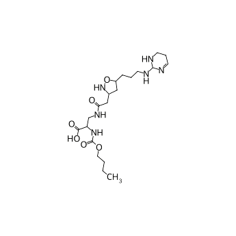 CCCCOC(=O)NC(CNC(=O)CC1CC(CCCNC2N=CCCN2)ON1)C(=O)O